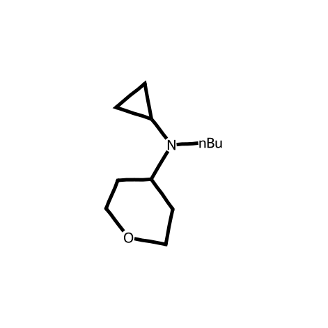 CCCCN(C1CCOCC1)C1CC1